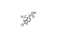 Cc1c(OC(=O)O)ccc2sc(Cl)nc12